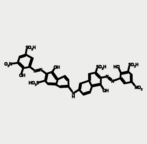 O=[N+]([O-])c1cc(N=Nc2c(S(=O)(=O)O)cc3cc(Nc4ccc5c(O)c(N=Nc6cc(S(=O)(=O)O)cc([N+](=O)[O-])c6O)c(S(=O)(=O)O)cc5c4)ccc3c2O)c(O)c(S(=O)(=O)O)c1